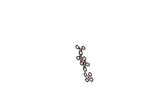 c1ccc(N(c2ccccc2)c2ccc(B3c4ccccc4B4c5cccc6c5B(c5ccccc5B6c5ccc(-c6ccc7c(c6)C6(c8ccccc8-c8ccccc86)c6ccccc6-7)cc5)c5cccc3c54)cc2)cc1